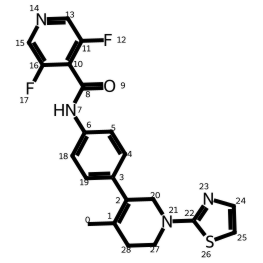 CC1=C(c2ccc(NC(=O)c3c(F)cncc3F)cc2)CN(c2nccs2)CC1